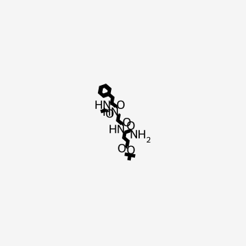 CC(=O)NC(Cc1ccccc1)C(=O)NCCC(=O)NC(CCC(=O)OC(C)(C)C)C(N)=O